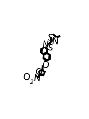 CC1CSC(c2nc3ccc4cc(OCc5ccc([N+](=O)[O-])o5)ccc4c3s2)=N1